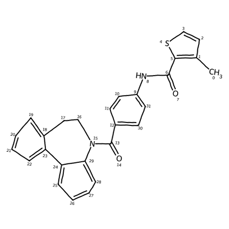 Cc1ccsc1C(=O)Nc1ccc(C(=O)N2CCc3ccccc3-c3ccccc32)cc1